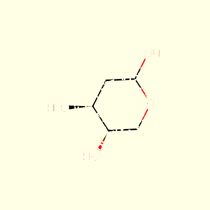 C[C@H]1CC(O)OC[C@H]1O